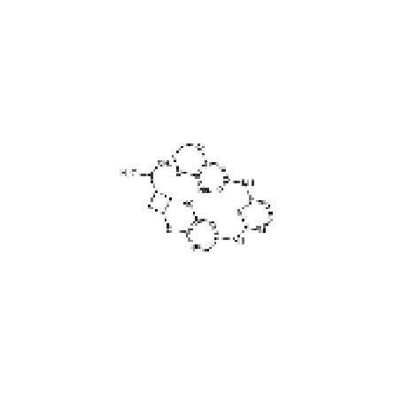 CN(C)C1CC(Oc2ncc(Nc3nccc(Nc4cnc5c(c4)OCCO5)n3)cc2C#N)C1